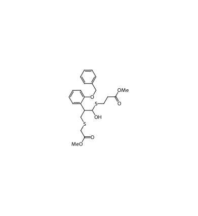 COC(=O)CCSC(O)C(CSCC(=O)OC)c1ccccc1OCc1ccccc1